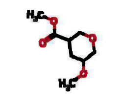 COC(=O)C1COCC(OC)C1